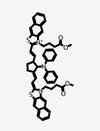 COC(=O)CCCN1C(=CC=C2CCC(C=Cc3sc4cc5ccccc5cc4[n+]3CCCC(=O)OC)C2N(c2ccccc2)c2ccccc2)Sc2cc3ccccc3cc21